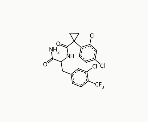 NC(=O)C(Cc1ccc(C(F)(F)F)c(Cl)c1)NC(=O)C1(c2ccc(Cl)cc2Cl)CC1